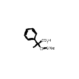 COOC(C)(C(=O)O)c1ccccc1